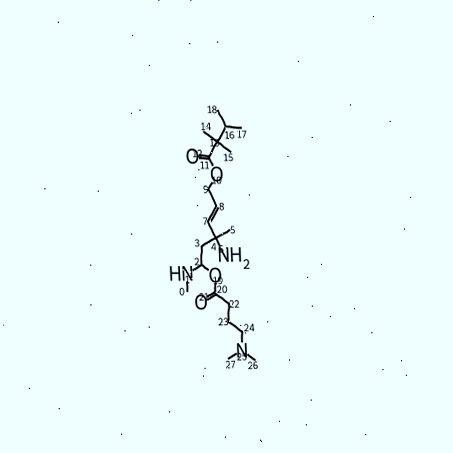 CNC(CC(C)(N)/C=C/COC(=O)C(C)(C)C(C)C)OC(=O)CCCN(C)C